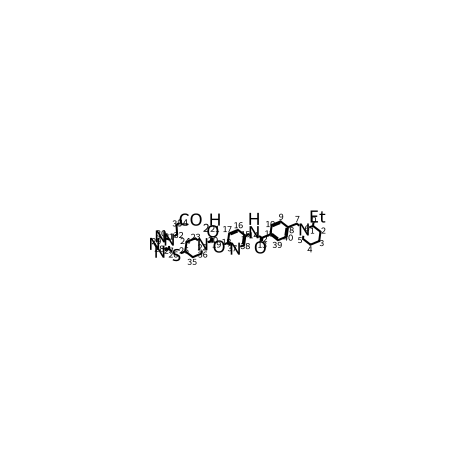 CCC1CCCCN1Cc1ccc(C(=O)Nc2ccc(OC(=O)N3CCC(Sc4nnnn4CCC(=O)O)CC3)nc2)cc1